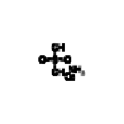 N.O=S(=O)(O)O.[Ce]